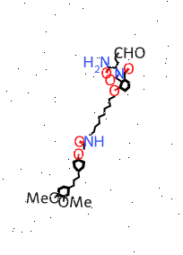 COc1ccc(CCCc2ccc(OCC(=O)NCCCCCCCCCCOc3cccc4c3C(=O)N(C(CCC=O)C(N)=O)C4=O)cc2)cc1OC